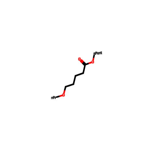 CCCCCOC(=O)CCCCOCCC